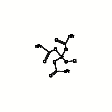 CCCC(=O)[O][Zr]([O]Cl)([O]C(=O)CCC)[O]C(=O)CCC